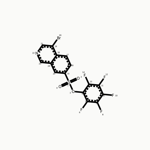 O=S(=O)(Oc1c(F)c(F)c(F)c(F)c1F)c1ccc2c(Br)cncc2c1